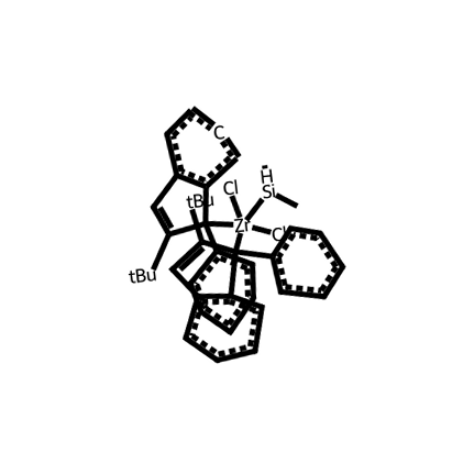 C[SiH](C)[Zr]([Cl])([Cl])([C]1(c2ccccc2)C(C(C)(C)C)=Cc2ccccc21)[C]1(c2ccccc2)C(C(C)(C)C)=Cc2ccccc21